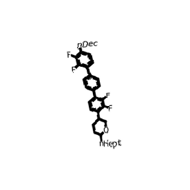 CCCCCCCCCCc1ccc(-c2ccc(-c3ccc(C4CCC(CCCCCCC)OC4)c(F)c3F)cc2)c(F)c1F